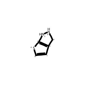 c1cc2c(s1)NNC2